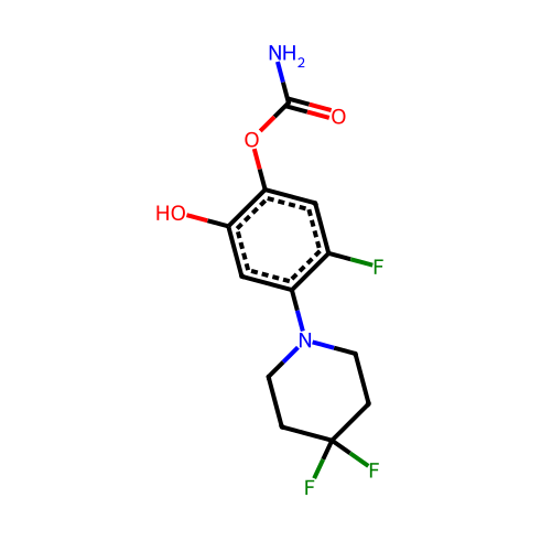 NC(=O)Oc1cc(F)c(N2CCC(F)(F)CC2)cc1O